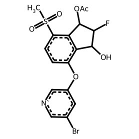 CC(=O)OC1c2c(S(C)(=O)=O)ccc(Oc3cncc(Br)c3)c2C(O)C1F